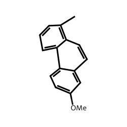 COc1ccc2c(ccc3c(C)cccc32)c1